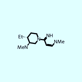 CC[C@@H]1CCN(C(=N)/C=C\NC)C[C@H]1NC